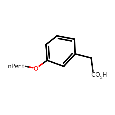 CCCCCOc1cccc(CC(=O)O)c1